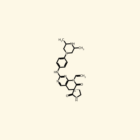 C=CN1C(=O)[C@]2(CCNC2=O)Cc2cnc(Nc3ccc(N4CC(C)NC(C)C4)cc3)nc21